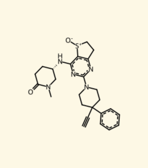 C#CC1(c2ccccc2)CCN(c2nc3c(c(N[C@H]4CCC(=O)N(C)C4)n2)[S+]([O-])CC3)CC1